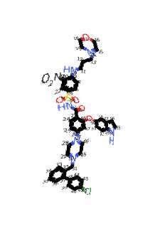 O=C(NS(=O)(=O)c1ccc(NCCCN2CCOCC2)c([N+](=O)[O-])c1)c1ccc(N2CCN(Cc3ccccc3-c3ccc(Cl)cc3)CC2)cc1Oc1ccc2[nH]ccc2c1